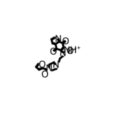 O=C1C2=C(C(=O)c3ncccc31)[NH+]([O-])N2CCCN1CCN(C(=O)c2ccco2)CC1